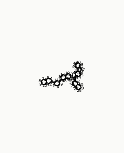 c1cc(-c2ccc3ccccc3c2)cc(-c2ccc3ccc(N(c4ccc5ccccc5c4)c4ccc5sc6ccccc6c5c4)cc3c2)c1